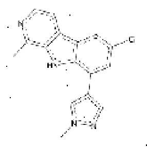 Cc1nccc2c1[nH]c1c(-c3cnn(C)c3)cc(Cl)cc12